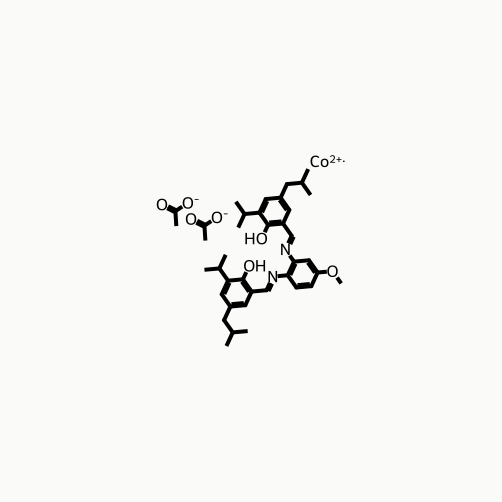 CC(=O)[O-].CC(=O)[O-].COc1ccc(N=Cc2cc(CC(C)C)cc(C(C)C)c2O)c(N=Cc2cc(CC(C)C)cc(C(C)C)c2O)c1.[Co+2]